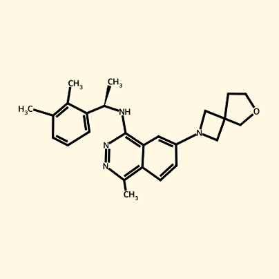 Cc1cccc([C@@H](C)Nc2nnc(C)c3ccc(N4CC5(CCOC5)C4)cc23)c1C